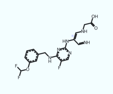 N=C/C(=C\NCC(=O)O)Nc1ncc(F)c(NCc2cccc(OC(F)F)c2)n1